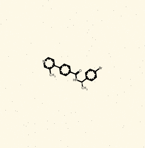 Cc1cnccc1-c1ccc(C(=O)N[C@H](C)c2ccc(Br)cc2)cc1